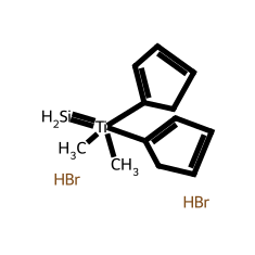 Br.Br.[CH3][Ti]([CH3])(=[SiH2])([C]1=CC=CC1)[C]1=CC=CC1